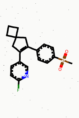 CS(=O)(=O)c1ccc(C2=C(c3ccc(F)nc3)CC3(CCC3)C2)cc1